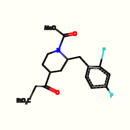 CCOC(=O)CC(=O)C1CCN(C(=O)OC)C(Cc2ccc(F)cc2F)C1